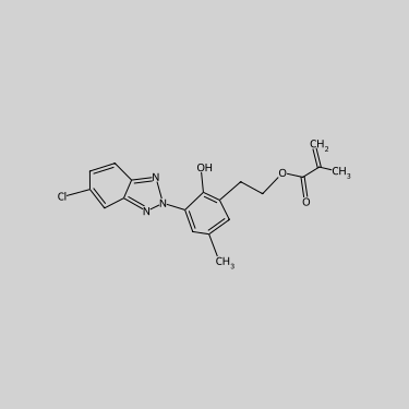 C=C(C)C(=O)OCCc1cc(C)cc(-n2nc3ccc(Cl)cc3n2)c1O